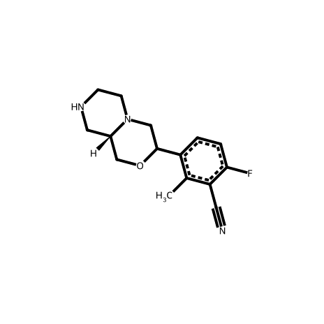 Cc1c(C2CN3CCNC[C@H]3CO2)ccc(F)c1C#N